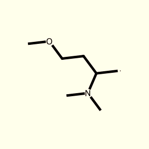 [CH2]C(CCOC)N(C)C